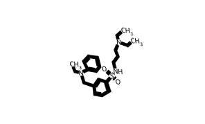 CCN(CC)CCCNS(=O)(=O)c1cccc(CN(CC)c2ccccc2)c1